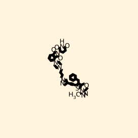 Cc1nnc2n1-c1sc(C#Cc3cnn(CCCCN4CCN(c5cccc6c5C(=O)N(C5CCC(=O)NC5=O)C6=O)CC4)c3)c(Cc3ccccc3)c1COC2